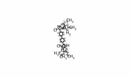 CCCN(Cc1nc(Cl)c(-c2ccc(-c3ccc(-c4[nH]c(CN(CCC)C(=O)CC(C)C)nc4Cl)cc3)cc2)[nH]1)C(=O)CC(C)C